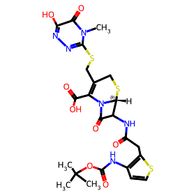 Cn1c(SCC2=C(C(=O)O)N3C(=O)C(NC(=O)Cc4sccc4NC(=O)OC(C)(C)C)[C@H]3SC2)nnc(O)c1=O